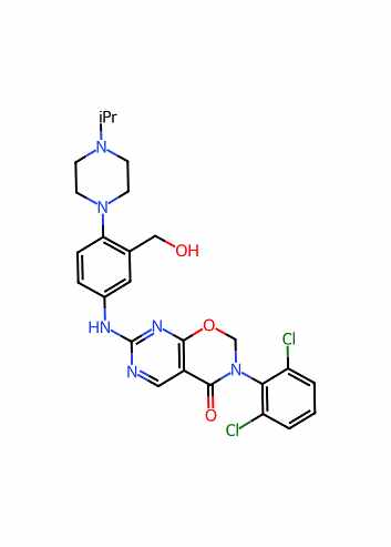 CC(C)N1CCN(c2ccc(Nc3ncc4c(n3)OCN(c3c(Cl)cccc3Cl)C4=O)cc2CO)CC1